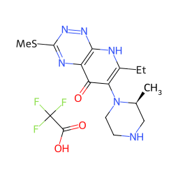 CCc1[nH]c2nnc(SC)nc2c(=O)c1N1CCNC[C@@H]1C.O=C(O)C(F)(F)F